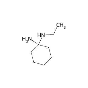 CCNC1(N)CCCCC1